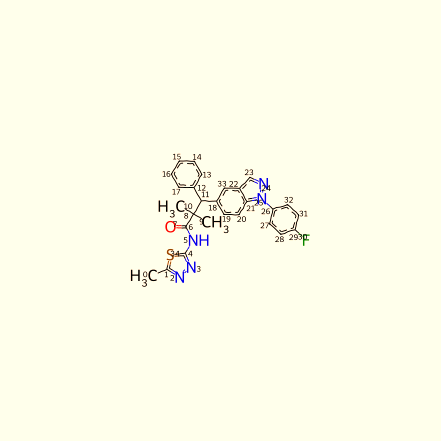 Cc1nnc(NC(=O)C(C)(C)C(c2ccccc2)c2ccc3c(cnn3-c3ccc(F)cc3)c2)s1